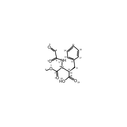 COC(=O)N(NC(=O)C=O)[C@@H](Cc1ccccc1)C(=O)O